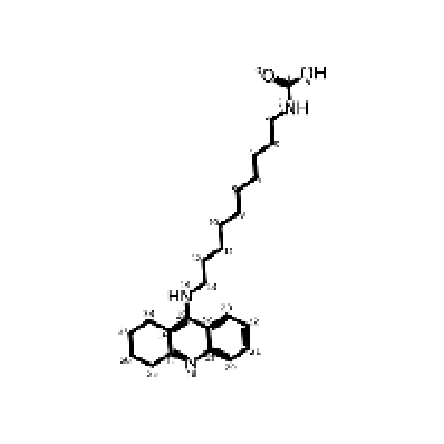 O=C(O)NCCCCCCCCCCNc1c2c(nc3ccccc13)CCCC2